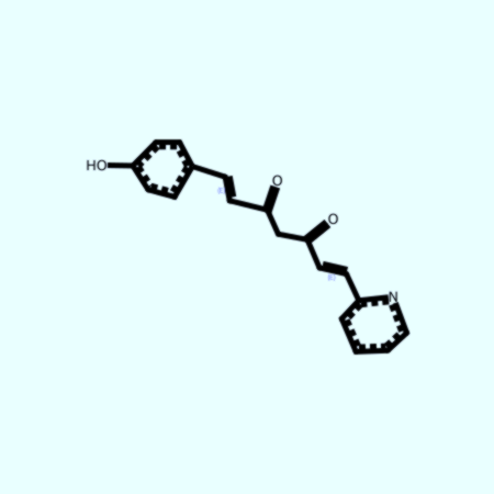 O=C(/C=C/c1ccc(O)cc1)CC(=O)/C=C/c1ccccn1